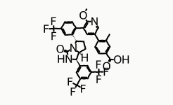 COc1ncc(-c2ccc(C(=O)O)cc2C)cc1-c1ccc(C(F)(F)F)cc1[C@@H]1CC[C@H]2[C@@H](c3cc(C(F)(F)F)cc(C(F)(F)F)c3)NC(=O)N12